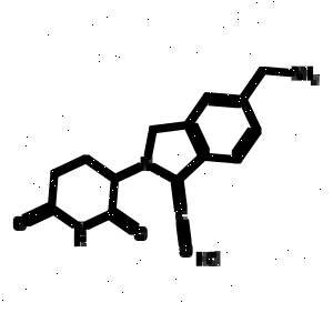 Cl.NCc1ccc2c(c1)CN(C1CCC(=O)NC1=O)C2=C=O